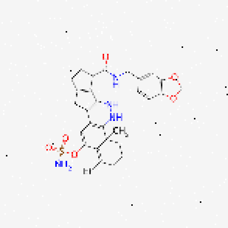 CCC1=C2C(OS(N)(=O)=O)=CC3=C(NNC4=C3CC3=C4C(C(=O)NCc4ccc5c(c4)OCO5)CC3)C2(C)CCC1